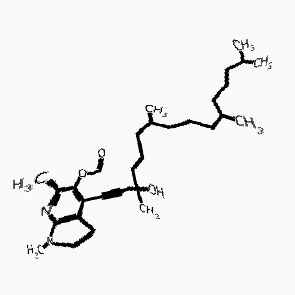 Cc1nc2c(c(C#CC(C)(O)CCCC(C)CCCC(C)CCCC(C)C)c1OC=O)CCN2C